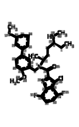 CC[C@@H](CC[C@H](C)N(Cc1cc(-c2cccc(SC)c2)ccc1OC)C(=O)c1sc2c(F)ccc(F)c2c1Cl)NC